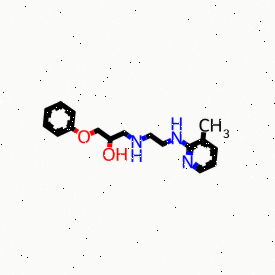 Cc1cccnc1NCCNCC(O)COc1ccccc1